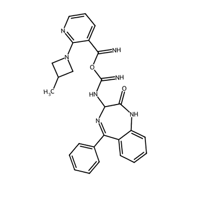 CC1CN(c2ncccc2C(=N)OC(=N)NC2N=C(c3ccccc3)c3ccccc3NC2=O)C1